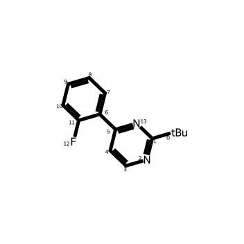 CC(C)(C)c1nccc(-c2ccccc2F)n1